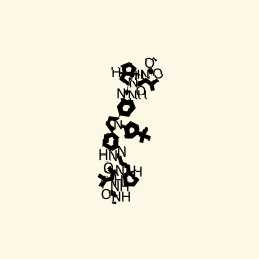 CNC(=O)N[C@H](C(=O)N1C(c2nc3cc([C@H]4CC[C@H](c5ccc6[nH]c([C@@H]7C[C@@H]8CCC[C@@H]8N7C(=O)[C@@H](NC(=O)OC)C(C)C)nc6c5)N4c4ccc(C(C)(C)C)cc4)ccc3[nH]2)C[C@@H]2CCC[C@@H]21)C(C)C